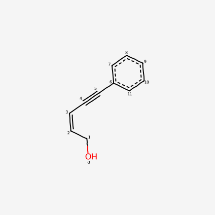 OC/C=C\C#Cc1ccccc1